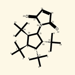 CC(C)(C)[C@@H]1[C@@H](C(C)(C)C)[C@@H](C(C)(C)C)C(N2C(=O)C=CC2=O)[C@@H]1C(C)(C)C